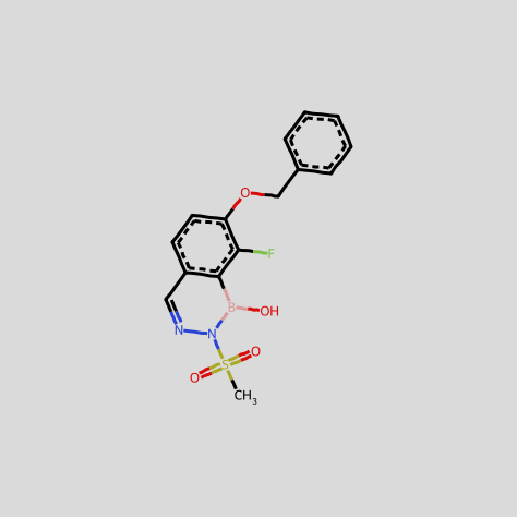 CS(=O)(=O)N1N=Cc2ccc(OCc3ccccc3)c(F)c2B1O